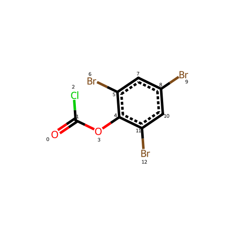 O=C(Cl)Oc1c(Br)cc(Br)cc1Br